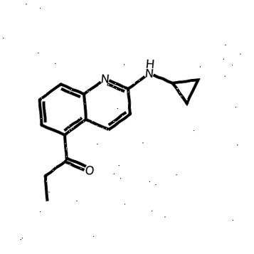 CCC(=O)c1cccc2nc(NC3CC3)ccc12